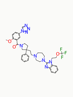 COc1ccc(-n2cnnn2)cc1C(=O)N1CCC(CCN2CCCN(c3nc4ccccc4n3CCOC(F)(F)F)CC2)(c2ccccc2)C1